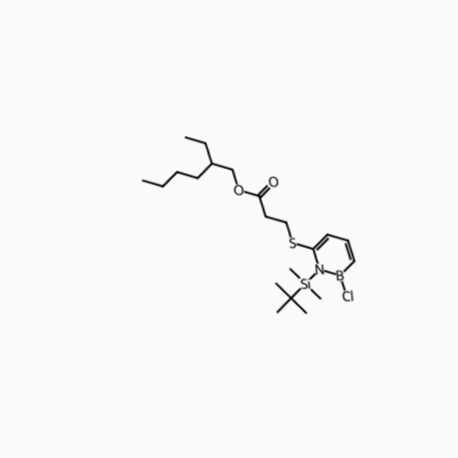 CCCCC(CC)COC(=O)CCSC1=CC=CB(Cl)N1[Si](C)(C)C(C)(C)C